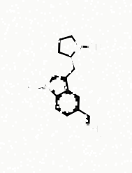 C=Cc1ccc2c(c1)c(C[C@H]1CCCN1C)cn2C(C)=O